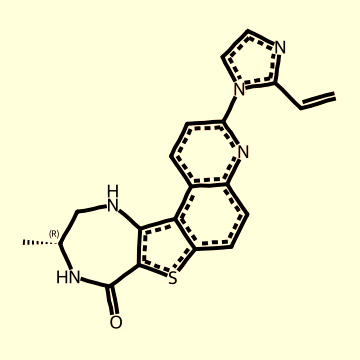 C=Cc1nccn1-c1ccc2c(ccc3sc4c(c32)NC[C@@H](C)NC4=O)n1